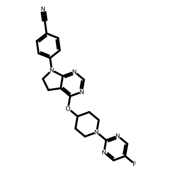 N#Cc1ccc(N2CCc3c(OC4CCN(c5ncc(F)cn5)CC4)ncnc32)cc1